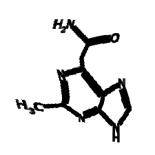 Cc1nc(C(N)=O)c2nc[nH]c2n1